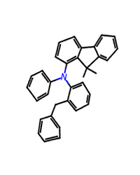 CC1(C)c2ccccc2-c2cccc(N(c3ccccc3)c3ccccc3Cc3ccccc3)c21